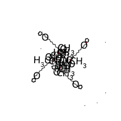 CC(C)(CCCCCCCCCCOCc1ccccc1)C(=O)Nc1ccccc1C1=C2C=CC(=N2)C(c2ccccc2NC(=O)C(C)(C)CCCCCCCCCCOCc2ccccc2)=C2C=CC(=N2)C(c2ccccc2NC(=O)C(C)(C)CCCCCCCCCCOCc2ccccc2)=C2C=CC(=N2)C(c2ccccc2NC(=O)C(C)(C)CCCCCCCCCCOCc2ccccc2)=C2C=CC1=N2